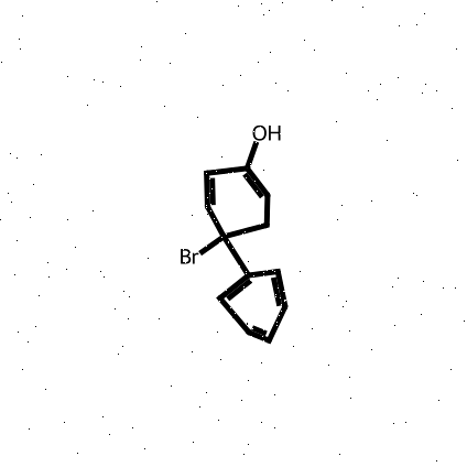 OC1=CCC(Br)(c2ccccc2)C=C1